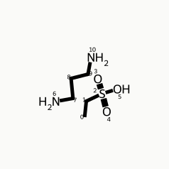 CCS(=O)(=O)O.NCCCN